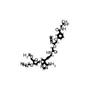 CNCNC(=O)c1cccc(OCC(N=[N+]=[N-])OCC(=O)NCC#Cc2cn(C3CC(OCN=[N+]=[N-])C(COP)O3)c3ncnc(N)c23)c1